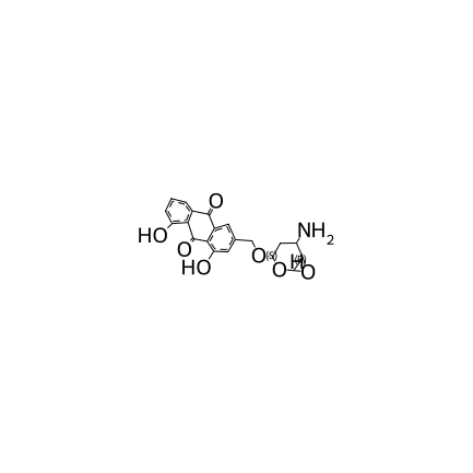 NC1C[C@@H](OCc2cc(O)c3c(c2)C(=O)c2cccc(O)c2C3=O)OC2O[C@H]12